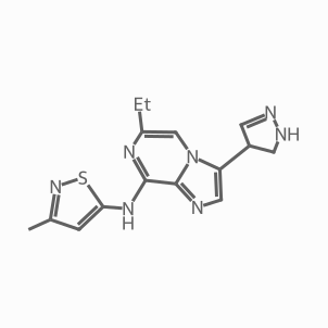 CCc1cn2c(C3C=NNC3)cnc2c(Nc2cc(C)ns2)n1